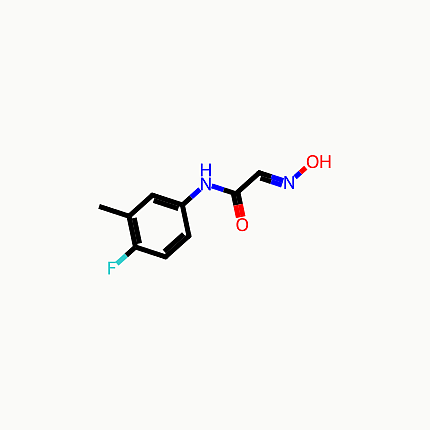 Cc1cc(NC(=O)C=NO)ccc1F